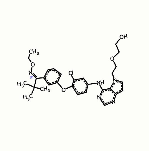 CCO/N=C(\c1cccc(Oc2ccc(Nc3ncnc4ccn(CCOCCO)c34)cc2Cl)c1)C(C)(C)C